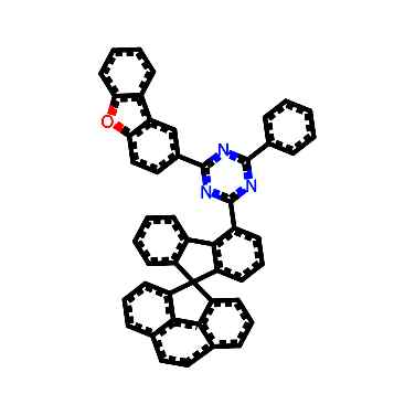 c1ccc(-c2nc(-c3ccc4oc5ccccc5c4c3)nc(-c3cccc4c3-c3ccccc3C43c4cccc5ccc6cccc3c6c45)n2)cc1